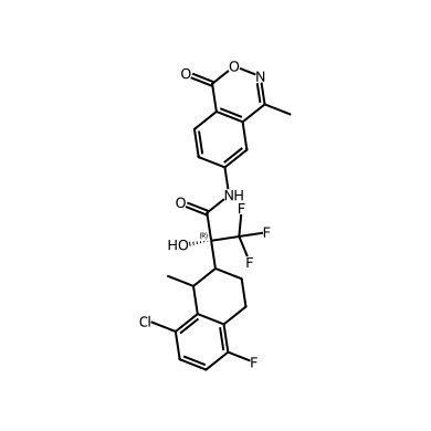 Cc1noc(=O)c2ccc(NC(=O)[C@](O)(C3CCc4c(F)ccc(Cl)c4C3C)C(F)(F)F)cc12